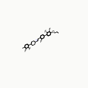 CCCOc1ccc(-c2ccc(/C=C/C3CC=C(c4ccc(C)c(F)c4F)CC3)c(F)c2)c(F)c1F